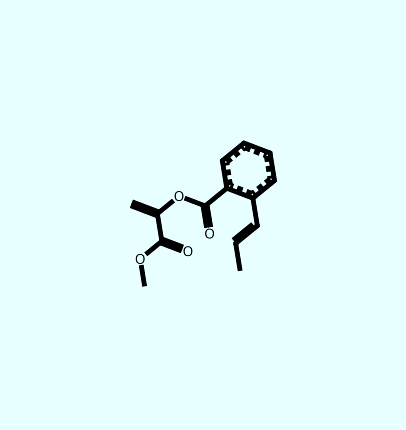 C=C(OC(=O)c1ccccc1/C=C/C)C(=O)OC